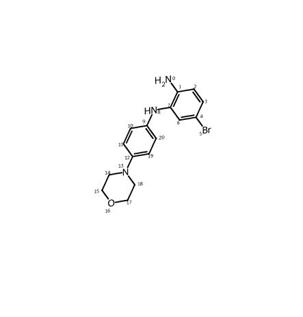 Nc1ccc(Br)cc1Nc1ccc(N2CCOCC2)cc1